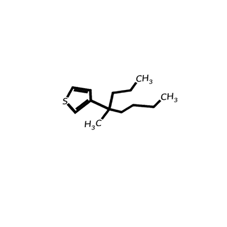 CCCCC(C)(CCC)c1ccsc1